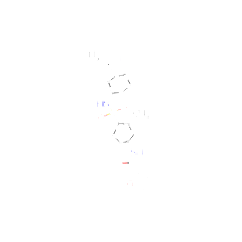 Cc1cc(NC(=O)C2CCCO2)ccc1S(=O)(=O)Nc1cccc(C(C)(F)I)c1